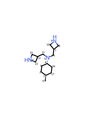 C[C@H]1CC[C@H](N(CC2CNC2)CC2CNC2)CC1